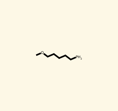 COCCCCCP